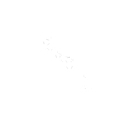 CCCN(CCCOc1cc2ncnc(Nc3cc(CC(=O)Nc4cc(F)cc(F)c4)[nH]n3)c2cc1OC)CCOP(=O)(OC(C)(C)C)OC(C)(C)C